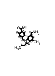 CCCc1nc2c(C)cc(CN)cc2n1Cc1ccc(C(=O)O)c(F)c1